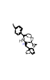 Cc1ccc(C(=O)N/C(=C/c2ccco2)C(=O)N(C)C)cc1